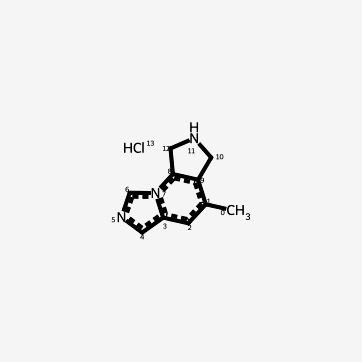 Cc1cc2cncn2c2c1CNC2.Cl